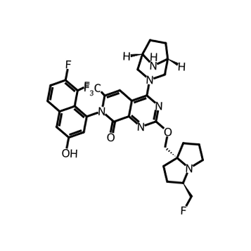 O=c1c2nc(OC[C@]34CCCN3[C@@H](CF)CC4)nc(N3C[C@H]4CC[C@@H](C3)N4)c2cc(C(F)(F)F)n1-c1cc(O)cc2ccc(F)c(F)c12